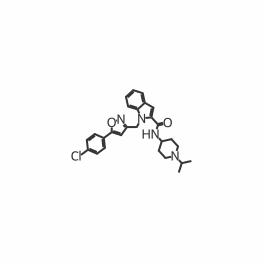 CC(C)N1CCC(NC(=O)c2cc3ccccc3n2Cc2cc(-c3ccc(Cl)cc3)on2)CC1